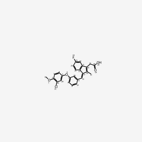 COc1ccc(Oc2cccc(/C=C3/C(C)=C(CC(=O)O)c4cc(F)ccc43)c2)cc1Cl